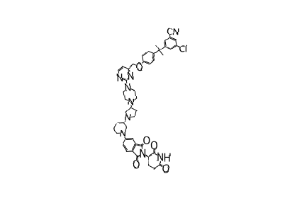 CC(C)(c1ccc(OCc2ccnc(N3CCN(C4CCN(C5CCCN(c6ccc7c(c6)C(=O)N(C6CCC(=O)NC6=O)C7=O)C5)C4)CC3)n2)cc1)c1cc(Cl)cc(C#N)c1